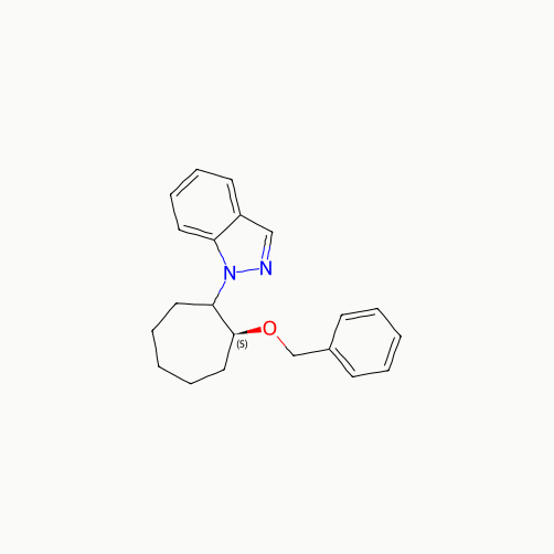 c1ccc(CO[C@H]2CCCCCC2n2ncc3ccccc32)cc1